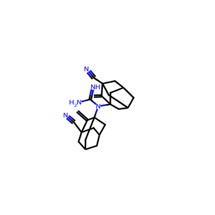 C=C1C2(C#N)CC3CC(C2)CC1(N(C(=N)N)C12CC4CC(CC(C#N)(C4)C1=C)C2)C3